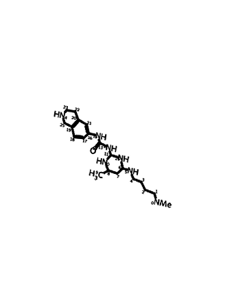 CNCCCCNC1CC(C)NC(NC(=O)Nc2ccc3c(c2)CCNC3)N1